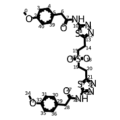 COc1ccc(CC(=O)Nc2nnc(CCS(=O)(=O)CCc3nnc(NC(=O)Cc4ccc(OC)cc4)s3)s2)cc1